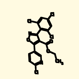 CCOC(=O)c1c(-c2c(Cl)cc(Cl)cc2Cl)noc1-c1ccc(Cl)nc1